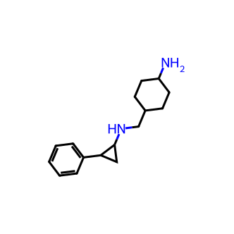 NC1CCC(CNC2CC2c2ccccc2)CC1